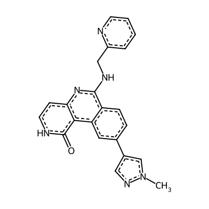 Cn1cc(-c2ccc3c(NCc4ccccn4)nc4cc[nH]c(=O)c4c3c2)cn1